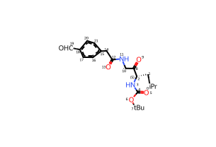 CC(C)C[C@H](NC(=O)OC(C)(C)C)C(=O)[CH]NC(=O)Cc1ccc(C=O)cc1